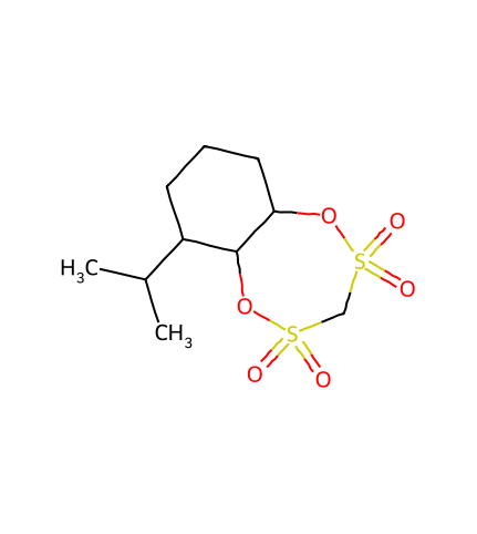 CC(C)C1CCCC2OS(=O)(=O)CS(=O)(=O)OC21